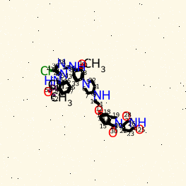 COc1cc(N2CCC(NCCOc3ccc4c(c3)CN(C3CCC(=O)NC3=O)C4=O)CC2)ccc1Nc1ncc(Cl)c(Nc2ccccc2P(C)(C)=O)n1